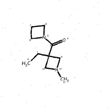 CCC1(C(=O)N2CCC2)CN(C)C1